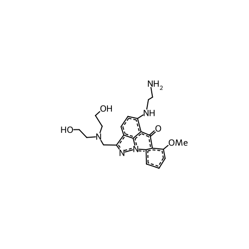 COc1cccc2c1c(=O)c1c(NCCN)ccc3c(CN(CCO)CCO)nn2c31